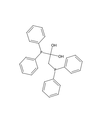 OC(O)(CP(c1ccccc1)c1ccccc1)P(c1ccccc1)c1ccccc1